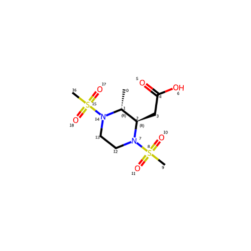 C[C@@H]1[C@@H](CC(=O)O)N(S(C)(=O)=O)CCN1S(C)(=O)=O